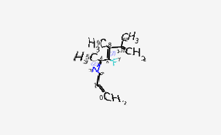 C=CC/N=C(C)\C(F)=C(/C)C(=C)C